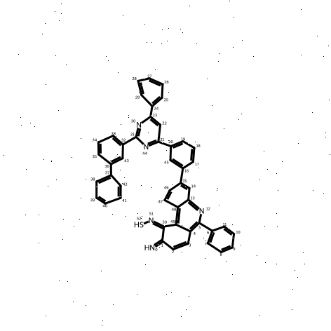 N=C1C=Cc2c(-c3ccccc3)nc3cc(-c4cccc(-c5cc(-c6ccccc6)nc(-c6cccc(-c7ccccc7)c6)n5)c4)ccc3c2/C1=N/S